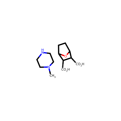 CN1CCNCC1.O=C(O)C1C2CCC(O2)C1C(=O)O